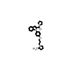 CC1CCCN1CCCOc1ccc(-n2c(C(=O)N3CCCC3)cc3ccccc32)cc1